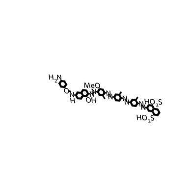 COc1cc(N=Nc2ccc(N=Nc3ccc(N=Nc4cc5c(S(=O)(=O)O)cccc5cc4S(=O)(=O)O)c(C)c3)c(C)c2)c(C)cc1N=Nc1ccc2cc(NCOc3ccc(N)cc3)ccc2c1O